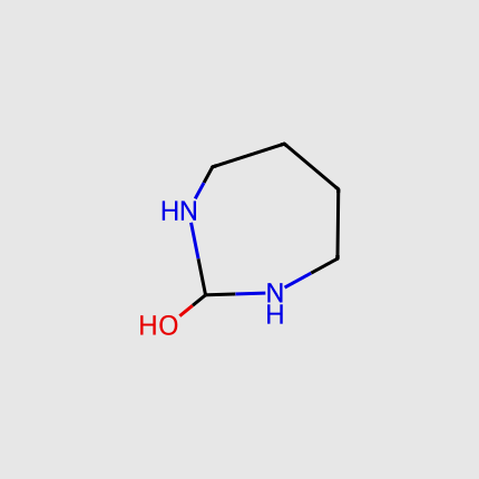 OC1NCCCCN1